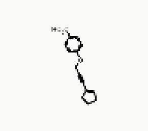 O=C(O)c1ccc(OCC#CC2=CCCC2)cc1